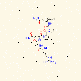 C[C@H](NC(=O)[C@@H](N)CCCNC(=N)N)C(=O)N[C@@H](CCC(N)=O)C(=O)N1CCC[C@H]1C(=O)N1CCC[C@H]1C(=O)N[C@@H](CCC(N)=O)C(=O)O